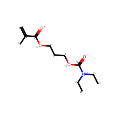 C=C(C)C(=O)OCCCOC(=O)N(CC)CC